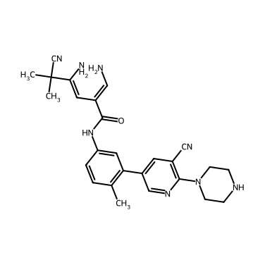 Cc1ccc(NC(=O)C(/C=C(\N)C(C)(C)C#N)=C/N)cc1-c1cnc(N2CCNCC2)c(C#N)c1